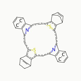 C1=CC2CCC1C1=C2c2cc3sc(cc4nc(cc5sc(cc1n2)c1c5C2C=CC1CC2)C1=C4C2C=CC1CC2)c1c3C2C=CC1CC2